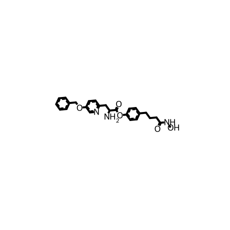 NC(Cc1ccc(OCc2ccccc2)cn1)C(=O)Oc1ccc(CCCC(=O)NO)cc1